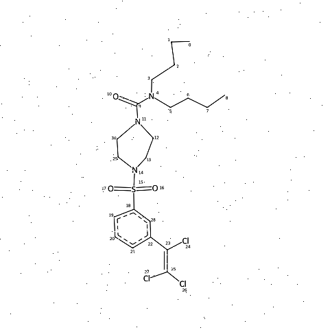 CCCCN(CCCC)C(=O)N1CCN(S(=O)(=O)c2cccc(C(Cl)=C(Cl)Cl)c2)CC1